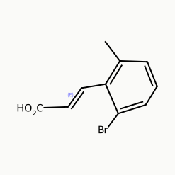 Cc1cccc(Br)c1/C=C/C(=O)O